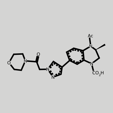 CC(=O)N1c2ccc(-c3cnn(CC(=O)N4CCOCC4)c3)cc2N(C(=O)O)C[C@@H]1C